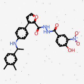 Cc1ccc(C(C)Nc2ccc(-c3ccoc3C(=O)NNC(=O)c3ccc(O)c([N+](=O)[O-])c3)cc2)cc1C